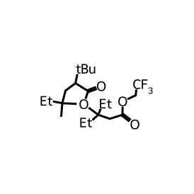 CCC(C)(C)CC(C(=O)OC(CC)(CC)CC(=O)OCC(F)(F)F)C(C)(C)C